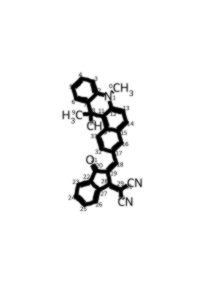 CN1c2ccccc2C(C)(C)c2c1ccc1cc(/C=C3\C(=O)c4ccccc4C3=C(C#N)C#N)ccc21